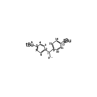 [CH2]C(c1ccc(C(C)(C)C)cc1)c1ccc(C(C)(C)C)cc1